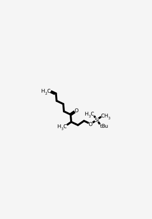 C=CCCCC(=O)C(C)CCO[Si](C)(C)C(C)(C)C